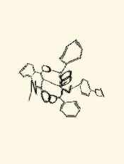 Cn1c(=O)c(C(=O)N(C(=O)c2ccccc2)c2ccc(Cl)cc2)c(OC(=O)c2ccccc2)c2ccccc21